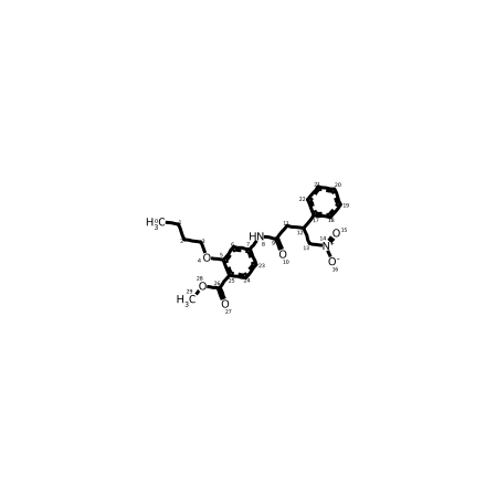 CCCCOc1cc(NC(=O)CC(C[N+](=O)[O-])c2ccccc2)ccc1C(=O)OC